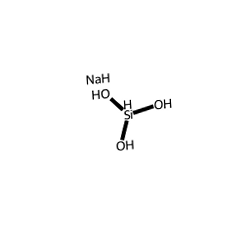 O[SiH](O)O.[NaH]